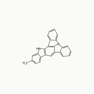 Cc1ccc2c(c1)[nH]c1c2cc2c3ccccc3n3c4ccccc4c1c23